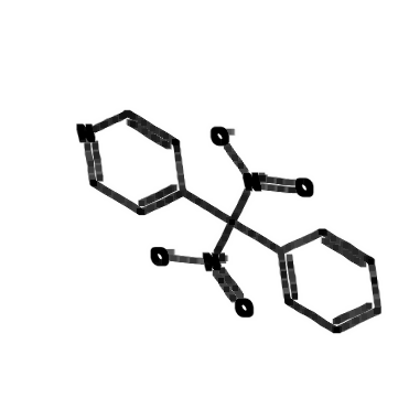 O=[N+]([O-])C(c1ccccc1)(c1ccncc1)[N+](=O)[O-]